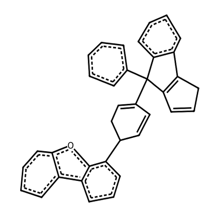 C1=CC2=C(C1)c1ccccc1C2(C1=CCC(c2cccc3c2oc2ccccc23)C=C1)c1ccccc1